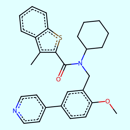 COc1ccc(-c2ccncc2)cc1CN(C(=O)c1sc2ccccc2c1C)C1CCCCC1